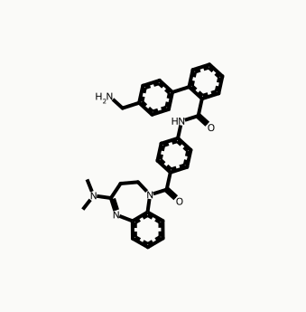 CN(C)C1=Nc2ccccc2N(C(=O)c2ccc(NC(=O)c3ccccc3-c3ccc(CN)cc3)cc2)CC1